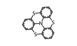 c1cc2c3c(c1)Sc1cccc4c1N3c1c(cccc1S4)S2